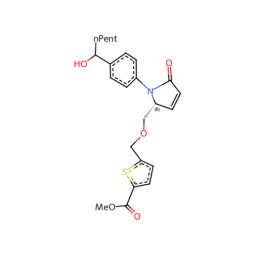 CCCCCC(O)c1ccc(N2C(=O)C=C[C@@H]2COCc2ccc(C(=O)OC)s2)cc1